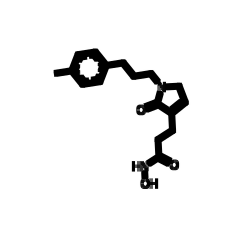 Cc1ccc(CCCN2CC=C(CCC(=O)NO)C2=O)cc1